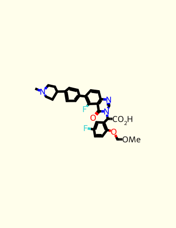 COCOc1ccc(F)cc1C(C(=O)O)n1cnc2ccc(-c3ccc(C4CCN(C)CC4)cc3)c(F)c2c1=O